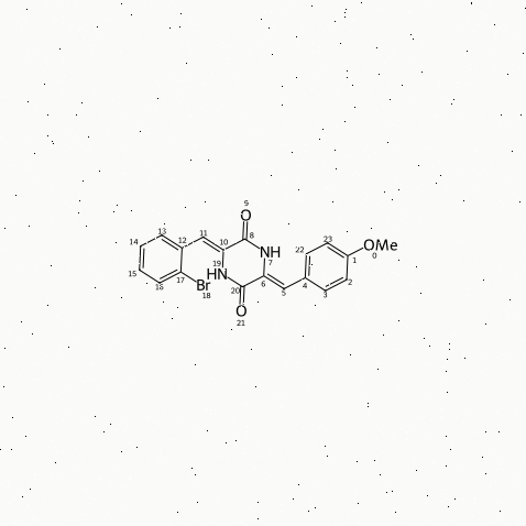 COc1ccc(C=c2[nH]c(=O)c(=Cc3ccccc3Br)[nH]c2=O)cc1